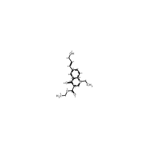 CCOC(=O)c1cn(CC)c2ccc(C=CCO)cc2c1=O